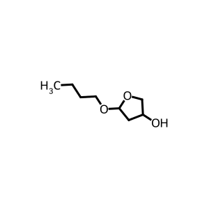 CCCCOC1CC(O)CO1